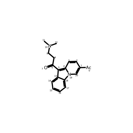 CC(=O)c1ccc2c(C(=O)CCN(C)C)c3ccccc3n2c1